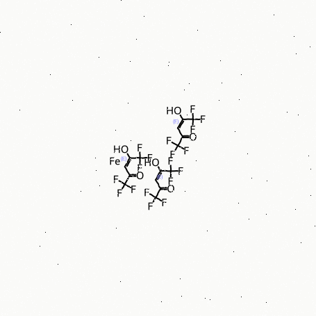 O=C(/C=C(/O)C(F)(F)F)C(F)(F)F.O=C(/C=C(/O)C(F)(F)F)C(F)(F)F.O=C(/C=C(/O)C(F)(F)F)C(F)(F)F.[Fe]